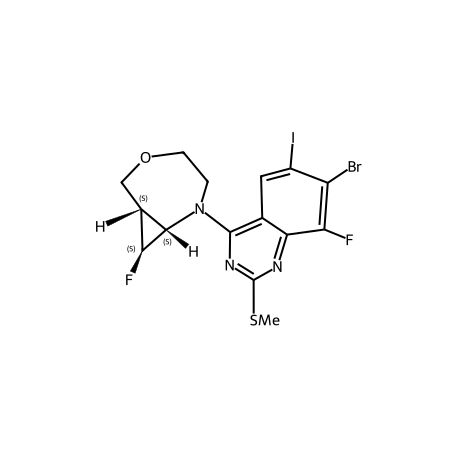 CSc1nc(N2CCOC[C@H]3[C@H](F)[C@H]32)c2cc(I)c(Br)c(F)c2n1